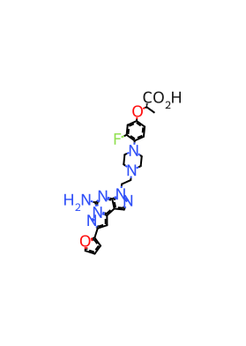 C[C@@H](Oc1ccc(N2CCN(CCn3ncc4c3nc(N)n3nc(-c5ccco5)cc43)CC2)c(F)c1)C(=O)O